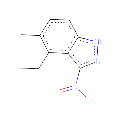 CCc1c(C)ccc2[nH]nc([N+](=O)[O-])c12